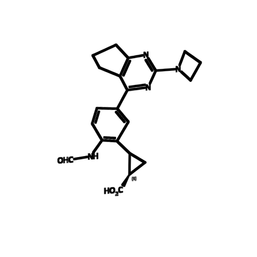 O=CNc1ccc(-c2nc(N3CCC3)nc3c2CCC3)cc1C1C[C@H]1C(=O)O